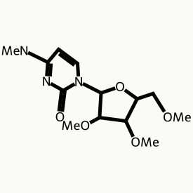 CNc1ccn(C2OC(COC)C(OC)C2OC)c(=O)n1